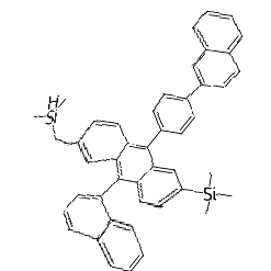 C[SiH](C)Cc1ccc2c(-c3ccc(-c4ccc5ccccc5c4)cc3)c3cc([Si](C)(C)C)ccc3c(-c3cccc4ccccc34)c2c1